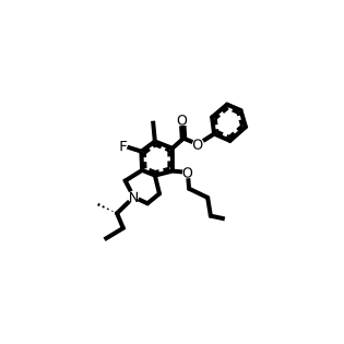 CCCCOc1c2c(c(F)c(C)c1C(=O)Oc1ccccc1)CN([C@@H](C)CC)CC2